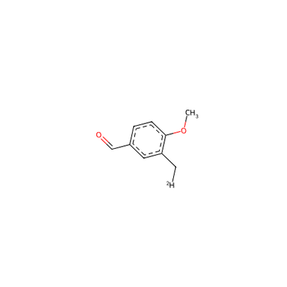 [2H]Cc1cc(C=O)ccc1OC